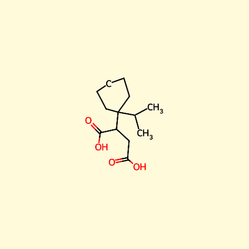 CC(C)C1(C(CC(=O)O)C(=O)O)CCCCC1